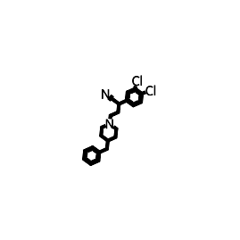 N#CC(CCN1CCC(Cc2ccccc2)CC1)c1ccc(Cl)c(Cl)c1